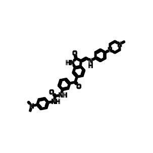 CN1CCN(c2ccc(N/C=C3/C(=O)Nc4cc(C(=O)c5cccc(NC(=O)Nc6ccc(N(C)C)cc6)c5)ccc43)cc2)CC1